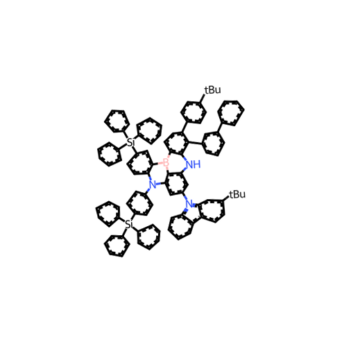 CC(C)(C)c1ccc(-c2ccc3c(c2-c2cccc(-c4ccccc4)c2)Nc2cc(-n4c5ccccc5c5ccc(C(C)(C)C)cc54)cc4c2B3c2cc([Si](c3ccccc3)(c3ccccc3)c3ccccc3)ccc2N4c2ccc([Si](c3ccccc3)(c3ccccc3)c3ccccc3)cc2)cc1